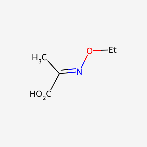 CCO/N=C(\C)C(=O)O